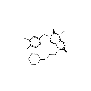 Cn1c2nc(=O)n(CCOC3CCCCO3)c-2cn(Cc2ccc(Cl)c(Cl)c2)c1=O